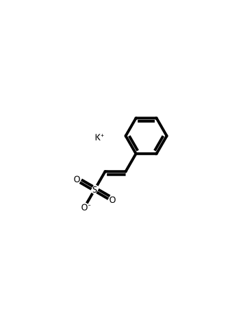 O=S(=O)([O-])C=Cc1ccccc1.[K+]